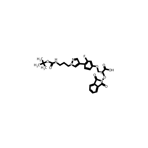 CC(C)(C)OC(=O)NCCCn1cc(-c2ccc(OC[C@H](ON3C(=O)c4ccccc4C3=O)C(=O)O)cc2F)cn1